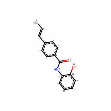 CC(C)(C)/C=C/c1ccc(C(=O)Nc2ccccc2O)cc1